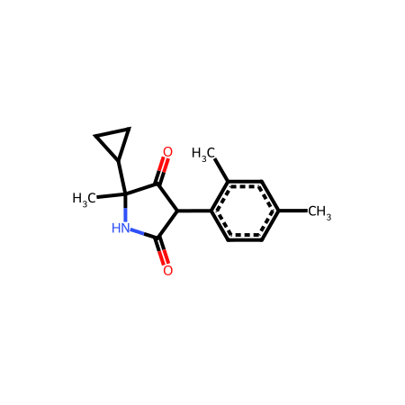 Cc1ccc(C2C(=O)NC(C)(C3CC3)C2=O)c(C)c1